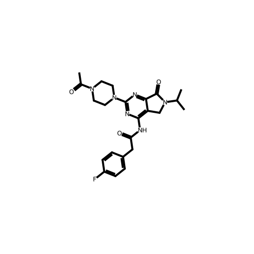 CC(=O)N1CCN(c2nc(NC(=O)Cc3ccc(F)cc3)c3c(n2)C(=O)N(C(C)C)C3)CC1